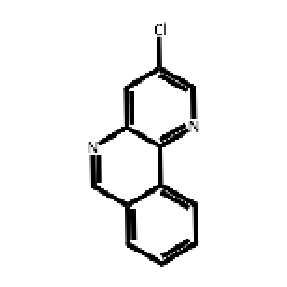 Clc1cnc2c(c1)ncc1ccccc12